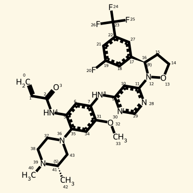 C=CC(=O)Nc1cc(Nc2cc(N3OCC[C@@H]3c3cc(F)cc(C(F)(F)F)c3)ncn2)c(OC)cc1N1CCN(C)[C@@H](C)C1